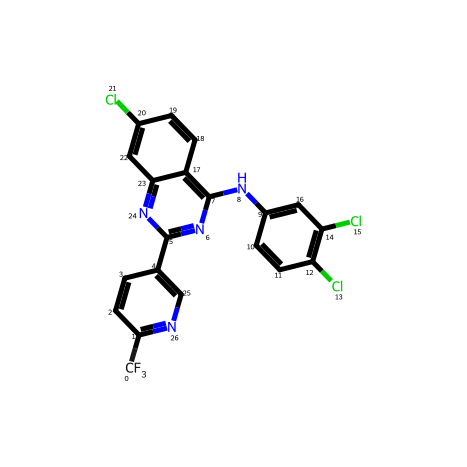 FC(F)(F)c1ccc(-c2nc(Nc3ccc(Cl)c(Cl)c3)c3ccc(Cl)cc3n2)cn1